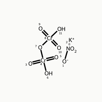 O=[N+]([O-])[O-].[K+].[O]=[Cr](=[O])([OH])[O][Cr](=[O])(=[O])[OH]